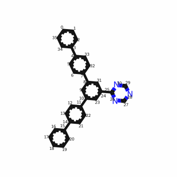 c1ccc(-c2ccc(-c3cc(-c4ccc(-c5ccccc5)cc4)cc(-c4ncncn4)c3)cc2)cc1